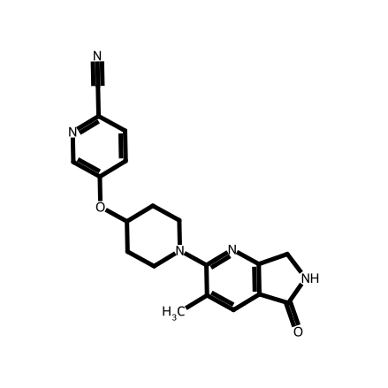 Cc1cc2c(nc1N1CCC(Oc3ccc(C#N)nc3)CC1)CNC2=O